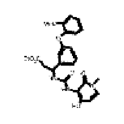 CCOC(=O)CC(NC(=O)Nc1c(O)ccn(C)c1=O)c1cccc(Oc2ccccc2OC)c1